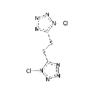 Cln1nnnc1SSc1nnnn1Cl